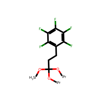 CC(C)OC(CCc1c(F)c(F)c(F)c(F)c1F)(O[SiH3])OC(C)C